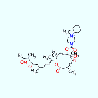 CC[C@H](O)[C@@H](C)[C@H]1O[C@@H]1C[C@H](C)/C=C/C=C(\C)[C@H]1OC(=O)C[C@H](C)CC[C@@](C)(O)[C@@H](OC(=O)N2CC[N+](C)(C3CCCCC3)CC2)/C=C/[C@@H]1C